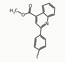 COC(=O)c1cc(-c2ccc(I)cc2)nc2ccccc12